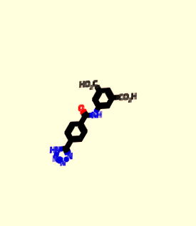 O=C(O)c1cc(NC(=O)c2ccc(-c3nnn[nH]3)cc2)cc(C(=O)O)c1